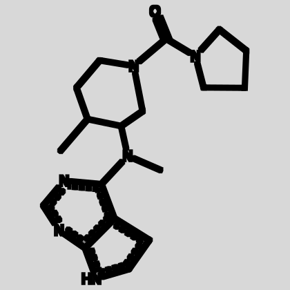 CC1CCN(C(=O)N2CCCC2)CC1N(C)c1ncnc2[nH]ccc12